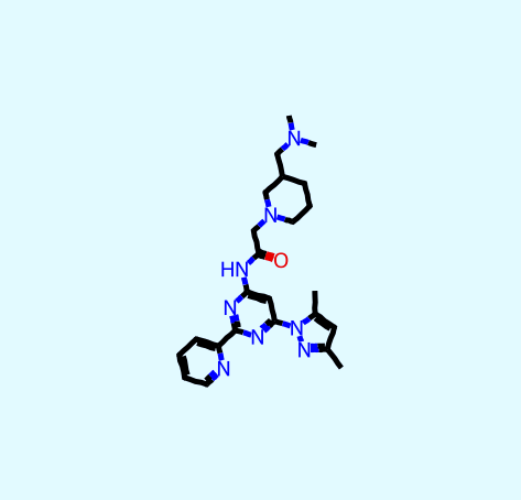 Cc1cc(C)n(-c2cc(NC(=O)CN3CCCC(CN(C)C)C3)nc(-c3ccccn3)n2)n1